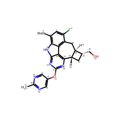 CNc1cc(F)c2c3c1[nH]c1nc(Oc4cnc(C)nc4)nc(c13)[C@H]1C[C@@H](CO)[C@@H]1C2